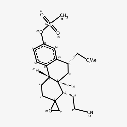 COC[C@@H]1C[C@@H]2[C@H](CCC3(CO3)[C@H]2CCC#N)c2ccc(OS(C)(=O)=O)cc21